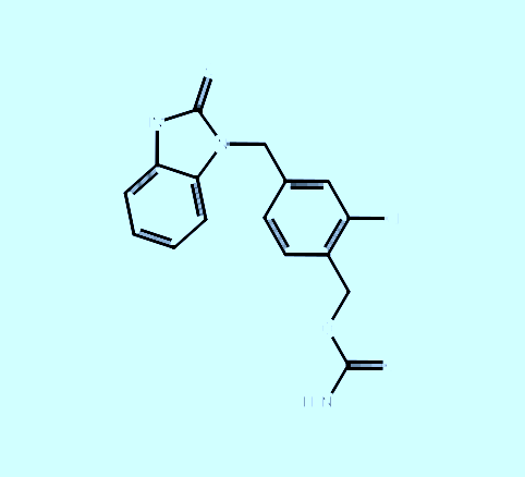 NC(=O)OCc1ccc(Cn2c(=O)[nH]c3ccccc32)cc1Cl